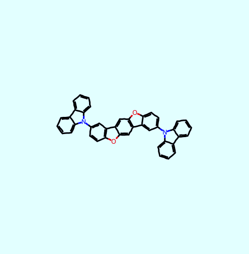 c1ccc2c(c1)c1ccccc1n2-c1ccc2oc3cc4c(cc3c2c1)oc1ccc(-n2c3ccccc3c3ccccc32)cc14